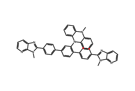 CN1c2ccccc2N(c2cc(-c3ccc(-c4nc5cccnc5n4C)cc3)ccc2-c2ccc(-c3nc4cccnc4n3C)cc2)c2ccccc21